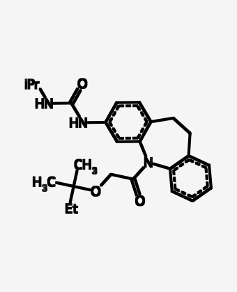 CCC(C)(C)OCC(=O)N1c2ccccc2CCc2ccc(NC(=O)NC(C)C)cc21